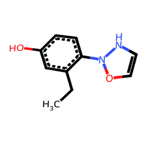 CCc1cc(O)ccc1N1NC=CO1